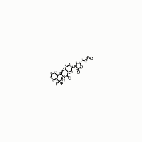 O=POC[C@H]1CN(c2ccc3cc(-c4ccccc4C(F)(F)F)[nH]c(=O)c3c2)C(=O)O1